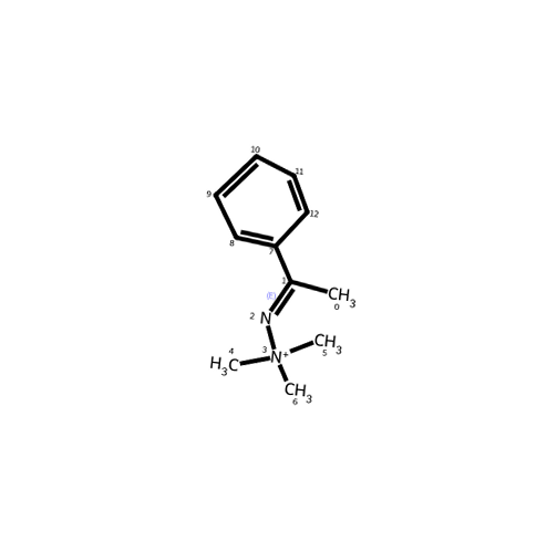 C/C(=N\[N+](C)(C)C)c1ccccc1